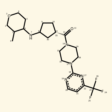 CC1COCCC1NC1CC[C@H](C(=O)N2CCN(c3nccc(C(F)(F)F)n3)CC2)C1